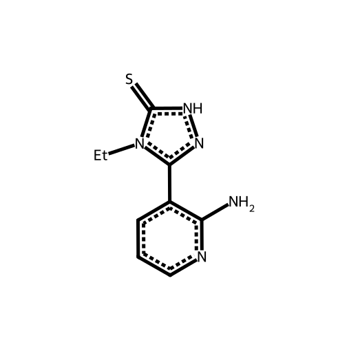 CCn1c(-c2cccnc2N)n[nH]c1=S